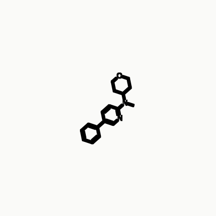 CN(c1ccc(-c2ccccc2)cn1)C1CCOCC1